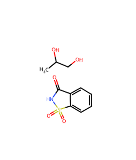 CC(O)CO.O=C1NS(=O)(=O)c2ccccc21